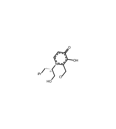 CC(C)C[C@@H](CO)n1ccc(=O)c(O)c1CCl